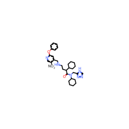 O=C(C(CCNCc1cc(Oc2ccccc2)ncc1[N+](=O)[O-])C1CCCCC1)N(Cc1nnc[nH]1)C1CCCCC1